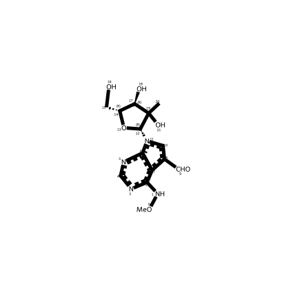 CONc1ncnc2c1c(C=O)cn2[C@@H]1O[C@H](CO)[C@@H](O)C1(C)O